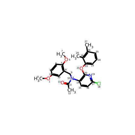 COc1ccc(OC)c(CN(C(C)=O)c2ccc(Cl)nc2Oc2cccc(C)c2C)c1